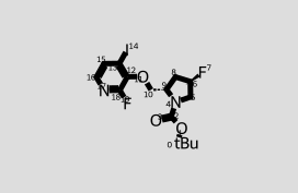 CC(C)(C)OC(=O)N1C[C@H](F)C[C@H]1COc1c(I)ccnc1F